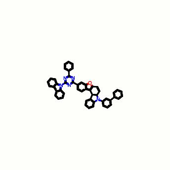 C1=CC2C(c3ccccc3N2c2cccc(-c3ccccc3)c2)c2c1oc1cc(-c3nc(-c4ccccc4)nc(-n4c5ccccc5c5ccccc54)n3)ccc21